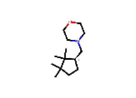 CC1(C)CC[C@H](CN2CCOCC2)C1(C)C